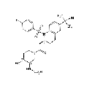 O=C(O)N[C@@H]1CN(C(=O)C[C@@H]2CCc3cc(C(O)(C(F)(F)F)C(F)(F)F)ccc3N2S(=O)(=O)c2ccc(F)cc2)CC[C@H]1O